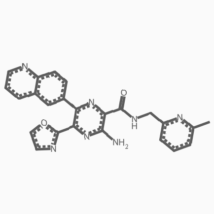 Cc1cccc(CNC(=O)c2nc(-c3ccc4ncccc4c3)c(-c3ncco3)nc2N)n1